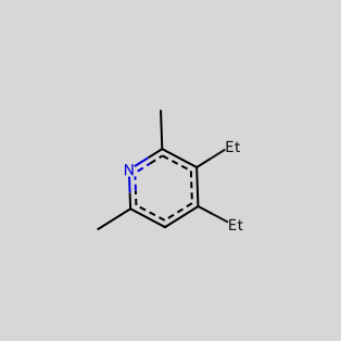 CCc1cc(C)nc(C)c1CC